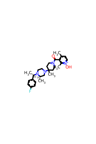 Cc1cc[n+](O)c(C)c1C(=O)N1CCC(C)(N2CCN([C@@H](C)c3ccc(F)cc3)[C@@H](C)C2)CC1